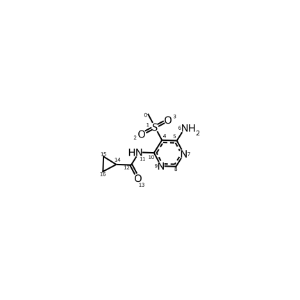 CS(=O)(=O)c1c(N)ncnc1NC(=O)C1CC1